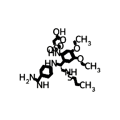 CCCSNC[C@H](Nc1ccc(C(=N)N)cc1)c1cc(OCC)c(OCC)cc1NS(=O)(=O)CC(=O)O